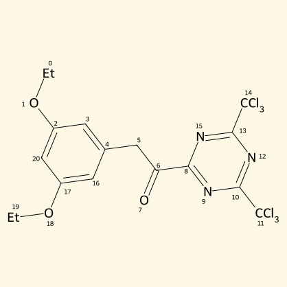 CCOc1cc(CC(=O)c2nc(C(Cl)(Cl)Cl)nc(C(Cl)(Cl)Cl)n2)cc(OCC)c1